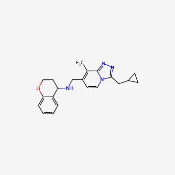 FC(F)(F)c1c(CNC2CCOc3ccccc32)ccn2c(CC3CC3)nnc12